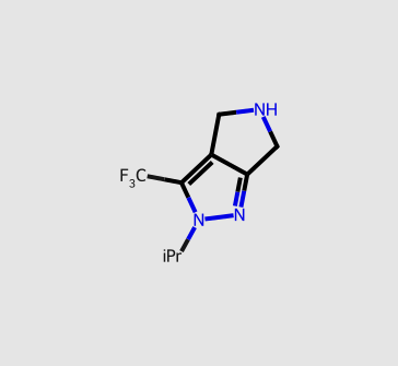 CC(C)n1nc2c(c1C(F)(F)F)CNC2